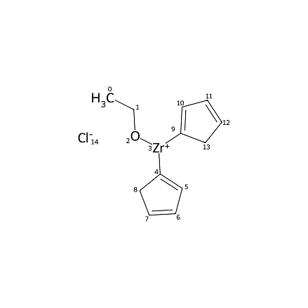 CC[O][Zr+]([C]1=CC=CC1)[C]1=CC=CC1.[Cl-]